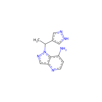 CC(c1cn[nH]c1)n1ncc2nccc(N)c21